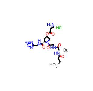 CC[C@H](C)[C@H](NC(=O)CCC(=O)O)C(=O)NCC(=O)N1C[C@H](OC(=O)CCN)C[C@H]1C(=O)NCc1nn[nH]n1.Cl